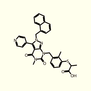 Cc1c(Cn2c(=O)n(C)c(=O)c3c(-c4ccncc4)n(Cc4cccc5ccccc45)nc32)cccc1SC(C)C(=O)O